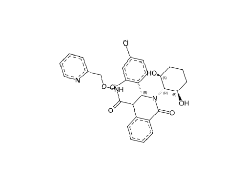 O=C(NOCc1ccccn1)C1c2ccccc2C(=O)N([C@H]2[C@H](O)CCC[C@@H]2O)[C@H]1c1ccc(Cl)cc1Cl